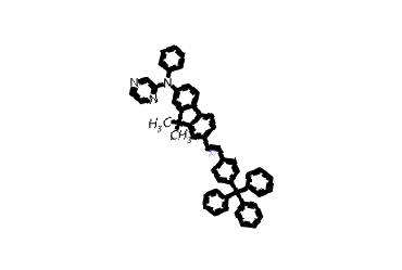 CC1(C)c2cc(/C=C/c3ccc(C(c4ccccc4)(c4ccccc4)c4ccccc4)cc3)ccc2-c2ccc(N(c3ccccc3)c3cnccn3)cc21